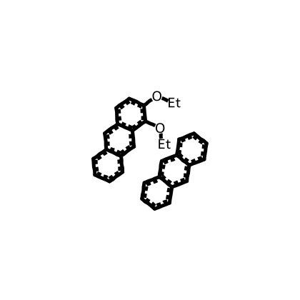 CCOc1ccc2cc3ccccc3cc2c1OCC.c1ccc2cc3ccccc3cc2c1